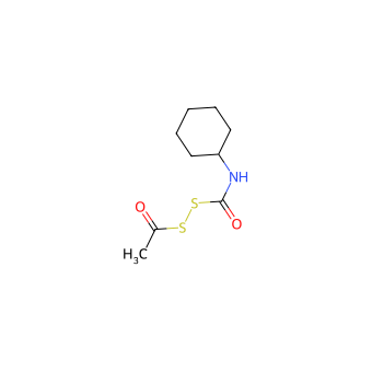 CC(=O)SSC(=O)NC1CCCCC1